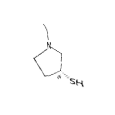 CN1CC[C@@H](S)C1